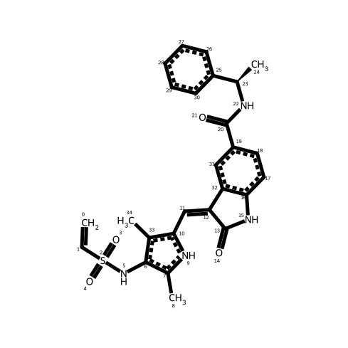 C=CS(=O)(=O)Nc1c(C)[nH]c(/C=C2\C(=O)Nc3ccc(C(=O)N[C@H](C)c4ccccc4)cc32)c1C